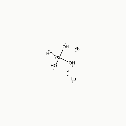 O[Si](O)(O)O.[Lu].[Y].[Yb]